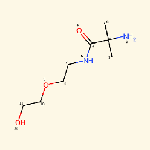 CC(C)(N)C(=O)NCCOCCO